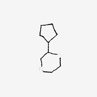 C1CC[C](C2CNCCS2)C1